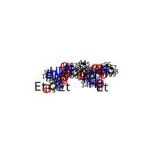 CCOc1ccc(N(CC)C(=O)[C@H](Cc2ccccc2)NC(=O)NS(=O)(=O)N2CCc3cc(OCC(C)N(C(=O)[C@H](Cc4ccccc4)NC(=O)NS(=O)(=O)N4CCc5ccccc54)c4ccc(OCC)cc4)cc(C)c32)cc1